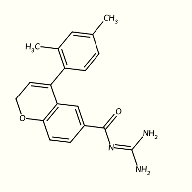 Cc1ccc(C2=CCOc3ccc(C(=O)N=C(N)N)cc32)c(C)c1